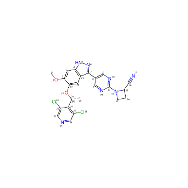 COc1cc2[nH]nc(-c3cnc(N4CCC4C#N)nc3)c2cc1O[C@H](C)c1c(Cl)cncc1Cl